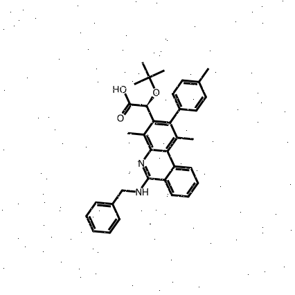 Cc1ccc(-c2c([C@H](OC(C)(C)C)C(=O)O)c(C)c3nc(NCc4ccccc4)c4ccccc4c3c2C)cc1